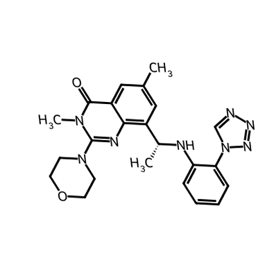 Cc1cc([C@@H](C)Nc2ccccc2-n2cnnn2)c2nc(N3CCOCC3)n(C)c(=O)c2c1